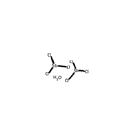 O.[Cl][Sb]([Cl])[Cl].[Cl][Sb]([Cl])[Cl]